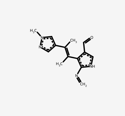 C=Nc1[nH]cc(C=O)c1/C(C)=C(\C)c1cnn(C)c1